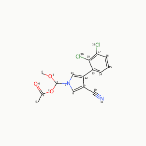 COC(OC(C)=O)n1cc(C#N)c(-c2cccc(Cl)c2Cl)c1